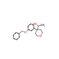 CC(O)C1(c2cccc(OCc3ccccc3)c2)CCOCC1